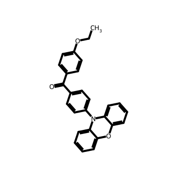 CCOc1ccc(C(=O)c2ccc(N3c4ccccc4Oc4ccccc43)cc2)cc1